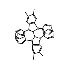 Cc1cc2c(cc1C)N(c1cccnc1)C(C1N(c3cccnc3)c3cc(C)c(C)cc3N1c1cccnc1)N2c1cccnc1